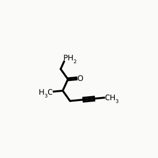 CC#CCC(C)C(=O)CP